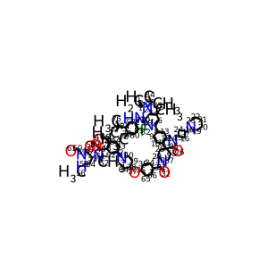 C=CN(c1c(C)cc(-c2ccc3c(c2)N(C2CC(N4CCCCC4)C2)C(=O)C32CCN(C(=O)c3ccc(OC4CCN(c5ccc(C=O)c(C(=O)N(C)C(CCC)C(=O)NC=O)c5)CC4)cc3)CC2)nc1Nc1cc(C(C)C)c(C)cc1F)C(C)C